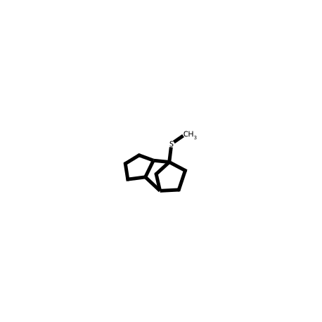 CSC12CCC(C1)C1CCCC12